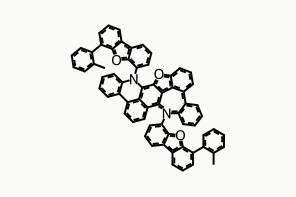 Cc1ccccc1-c1cccc2c1oc1c(N3c4ccccc4-c4cccc5c4c3c3oc4cccc6c7ccccc7n(-c7cccc8c7oc7c(-c9ccccc9C)cccc78)c5c3c46)cccc12